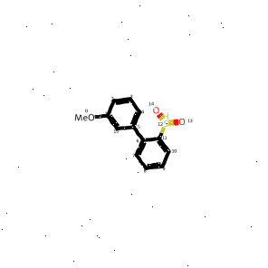 COc1[c]ccc(-c2ccccc2[SH](=O)=O)c1